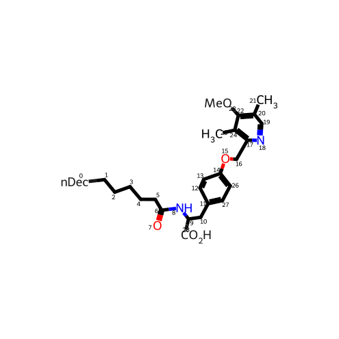 CCCCCCCCCCCCCCCC(=O)NC(Cc1ccc(OCc2ncc(C)c(OC)c2C)cc1)C(=O)O